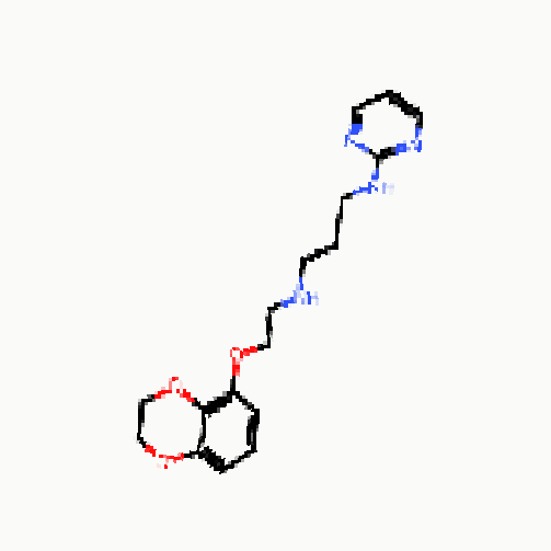 c1cnc(NCCCNCCOc2cccc3c2OCCO3)nc1